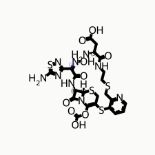 Nc1nc(/C(=N/O)C(=O)N[C@@H]2C(=O)N3C(OC(=O)O)=C(Sc4cccnc4CSCCNC(=O)[C@@H](N)CC(=O)O)CS[C@@H]23)ns1